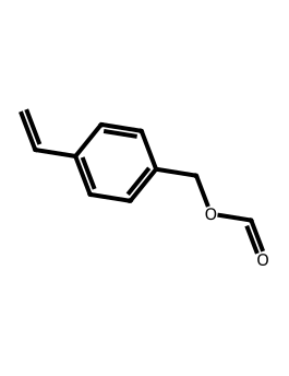 C=Cc1ccc(COC=O)cc1